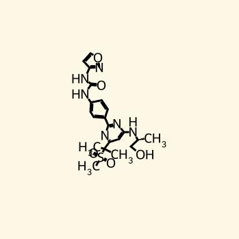 C[C@@H](CO)Nc1cc(C(C)(C)S(C)(=O)=O)nc(-c2ccc(NC(=O)Nc3ccon3)cc2)n1